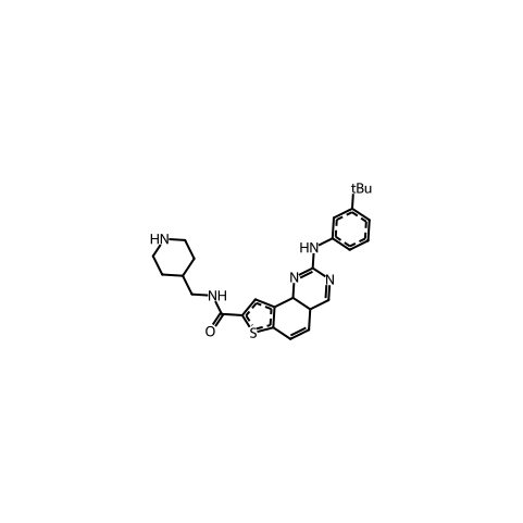 CC(C)(C)c1cccc(NC2=NC3c4cc(C(=O)NCC5CCNCC5)sc4C=CC3C=N2)c1